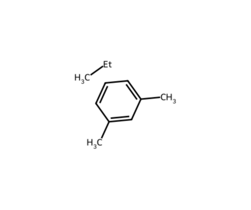 CCC.Cc1cccc(C)c1